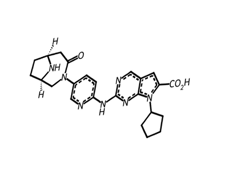 O=C(O)c1cc2cnc(Nc3ccc(N4C[C@H]5CC[C@@H](CC4=O)N5)cn3)nc2n1C1CCCC1